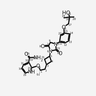 C[C@@H](CC1CC(N2C(=O)CN(c3cccc(OCC(C)(C)O)c3)C2=O)C1)OC1NC=CC=C1C(N)=O